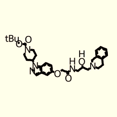 CC(C)(C)OC(=O)N1CCC(n2ncc3cc(OCC(=O)NCC(O)CN4CCc5ccccc5C4)ccc32)CC1